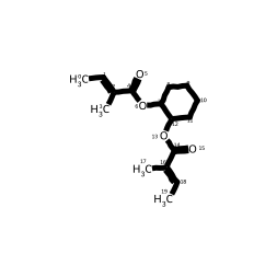 C/C=C(\C)C(=O)OC1CCCCC1OC(=O)/C(C)=C/C